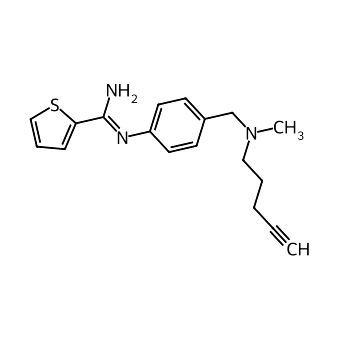 C#CCCCN(C)Cc1ccc(/N=C(\N)c2cccs2)cc1